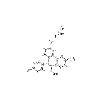 CC/C(=C(\c1ccc(F)cc1)c1ccc(OCCNC)cc1)c1ccc(C)cc1